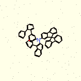 c1ccc(-c2ccccc2-c2cccc(N(c3ccc4c(c3)C3(c5ccccc5-c5ccccc53)c3ccccc3-4)c3ccc4ccccc4c3-c3ccccc3)c2)cc1